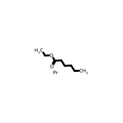 CCCCCC(=O)OCC.[Pr]